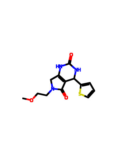 COCCN1CC2=C(C1=O)C(c1cccs1)NC(=O)N2